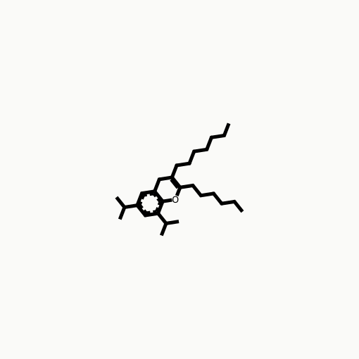 CCCCCCCC1=C(CCCCCC)Oc2c(cc(C(C)C)cc2C(C)C)C1